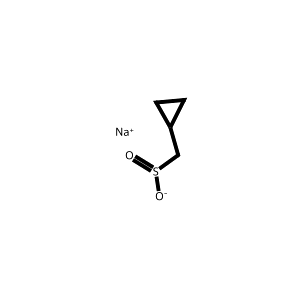 O=S([O-])CC1CC1.[Na+]